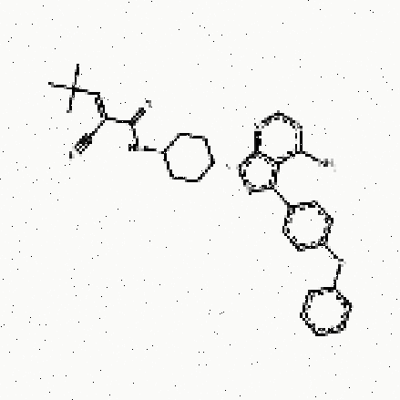 CC(C)(C)C=C(C#N)C(=O)N[C@H]1CC[C@H](n2nc(-c3ccc(Oc4ccccc4)cc3)c3c(N)ncnc32)CC1